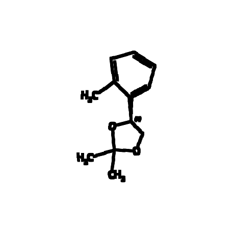 Cc1ccccc1[C@H]1COC(C)(C)O1